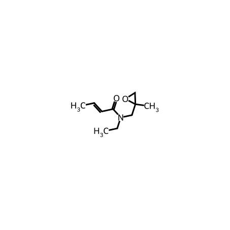 C/C=C/C(=O)N(CC)CC1(C)CO1